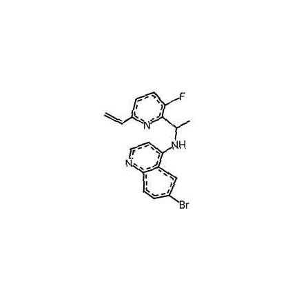 C=Cc1ccc(F)c(C(C)Nc2ccnc3ccc(Br)cc23)n1